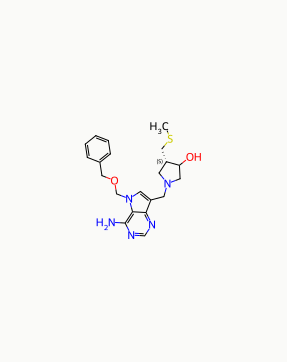 CSC[C@H]1CN(Cc2cn(COCc3ccccc3)c3c(N)ncnc23)CC1O